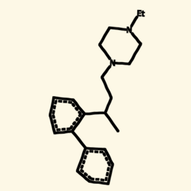 CCN1CCN(CCC(C)c2ccccc2-c2ccccc2)CC1